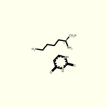 NCCCC[C@H](N)C(=O)O.O=c1cc[nH]c(=O)[nH]1